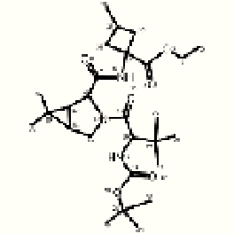 CCOC(=O)C1(NC(=O)C2C3C(CN2C(=O)C(NC(=O)OC(C)(C)C)C(C)(C)C)C3(C)C)CC(C)C1